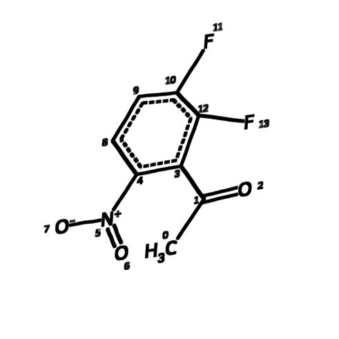 CC(=O)c1c([N+](=O)[O-])ccc(F)c1F